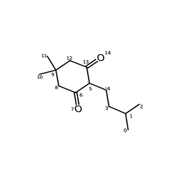 CC(C)C[CH]C1C(=O)CC(C)(C)CC1=O